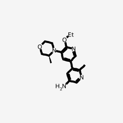 CCOc1ncc(-c2cc(N)cnc2C)cc1N1CCOC[C@@H]1C